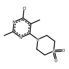 Cc1nc(Cl)c(C)c(N2CCS(=O)(=O)CC2)n1